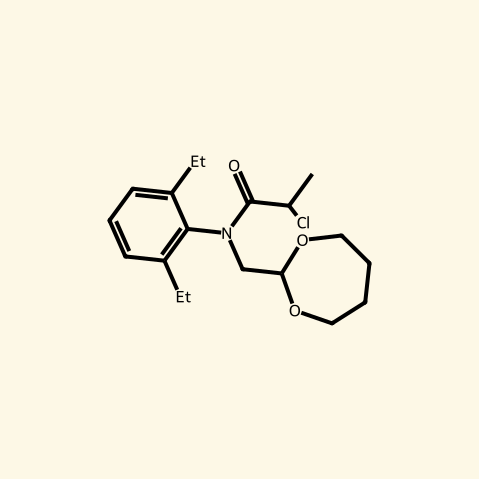 CCc1cccc(CC)c1N(CC1OCCCCO1)C(=O)C(C)Cl